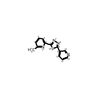 Cc1cccc(-c2nnc(-c3cccnc3)s2)n1